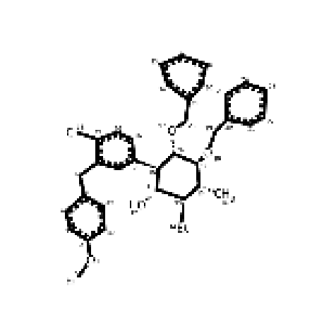 CCOc1ccc(Cc2cc([C@@H]3[C@@H](O)[C@H](CC)[C@@H](C)[C@H](OCc4ccccc4)[C@H]3OCc3ccccc3)ccc2Cl)cc1